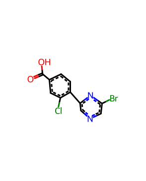 O=C(O)c1ccc(-c2cncc(Br)n2)c(Cl)c1